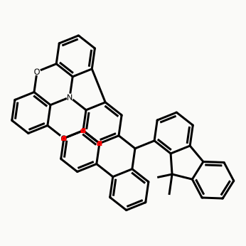 CC1(C)c2ccccc2-c2cccc(C(c3cc4c5c(c3)c3cccc6c3n5-c3c(cccc3O4)O6)c3ccccc3-c3ccccc3)c21